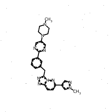 CN1CCN(c2cnc(-c3cccc(Cc4nnc5ccc(-c6cnn(C)c6)nn45)c3)nc2)CC1